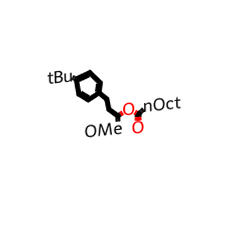 CCCCCCCCC(=O)OC(CCc1ccc(C(C)(C)C)cc1)OC